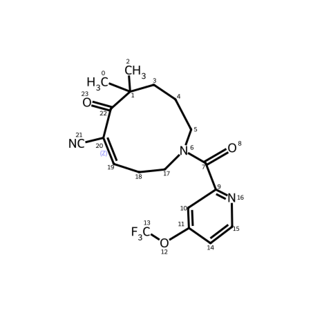 CC1(C)CCCN(C(=O)c2cc(OC(F)(F)F)ccn2)CC/C=C(/C#N)C1=O